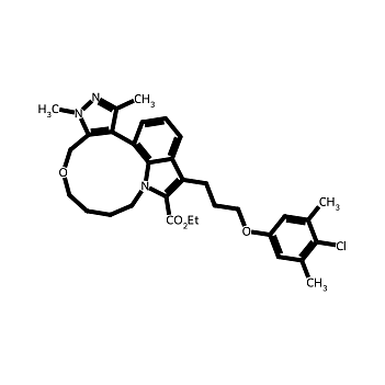 CCOC(=O)c1c(CCCOc2cc(C)c(Cl)c(C)c2)c2cccc3c2n1CCCCOCc1c-3c(C)nn1C